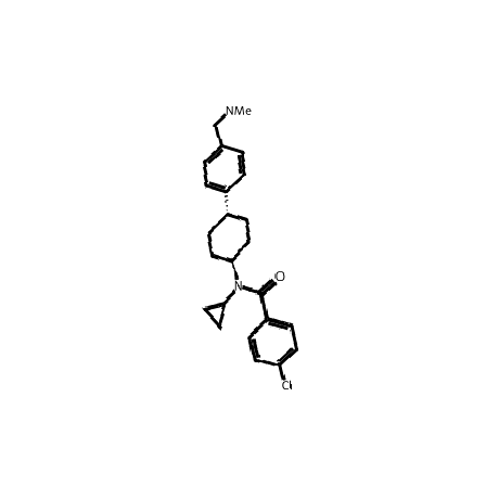 CNCc1ccc([C@H]2CC[C@H](N(C(=O)c3ccc(Cl)cc3)C3CC3)CC2)cc1